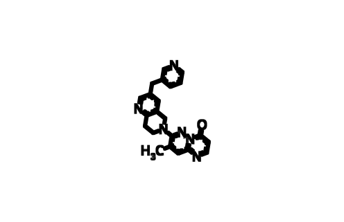 Cc1cc2nccc(=O)n2nc1N1CCc2ncc(Cc3cccnc3)cc2C1